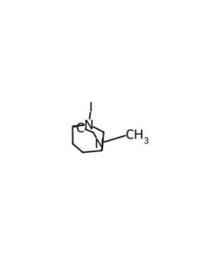 CN1CCC2CCC1CN2I